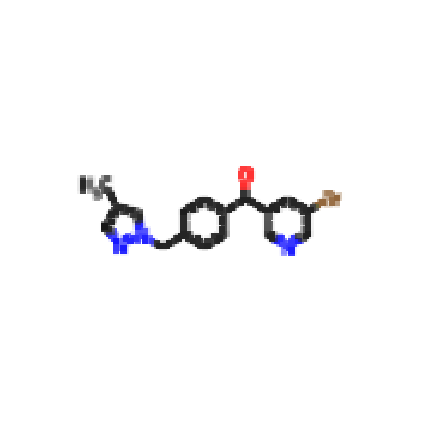 Cc1cnn(Cc2ccc(C(=O)c3cncc(Br)c3)cc2)c1